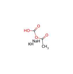 CC(=O)OC(=O)O.[KH].[NaH]